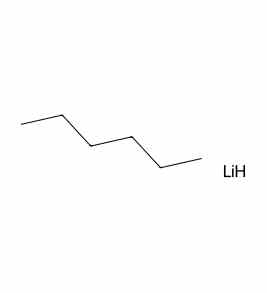 CCCCCC.[LiH]